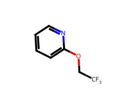 FC(F)(F)COc1cc[c]cn1